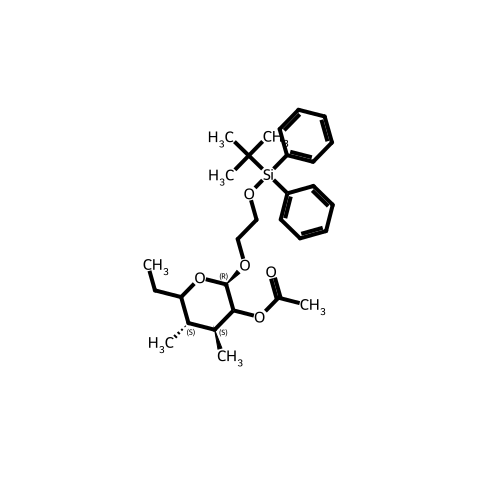 CCC1O[C@@H](OCCO[Si](c2ccccc2)(c2ccccc2)C(C)(C)C)C(OC(C)=O)[C@@H](C)[C@@H]1C